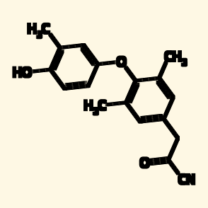 Cc1cc(Oc2c(C)cc(CC(=O)C#N)cc2C)ccc1O